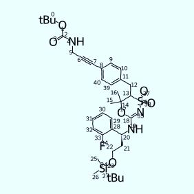 CC(C)(C)OC(=O)NCC#Cc1ccc(CC2C(C)(C)OC(N[C@@H](CCO[Si](C)(C)C(C)(C)C)c3ccccc3F)=NS2(=O)=O)cc1